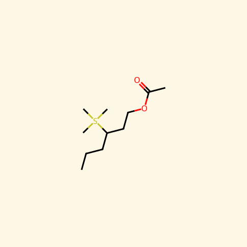 CCCC(CCOC(C)=O)S(C)(C)C